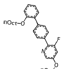 CCCCCCCCOc1cnc(-c2ccc(-c3ccccc3OCCCCCCCC)cc2)c(F)c1